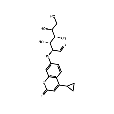 O=C[C@@H](Nc1ccc2c(C3CC3)cc(=O)oc2c1)[C@H](O)[C@@H](O)[C@@H](O)CO